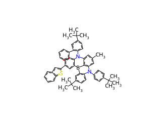 Cc1cc2c3c(c1)N(c1ccc(C(C)(C)C)cc1-c1ccccc1)c1ccc(-c4cc5ccccc5s4)cc1B3c1cc(C(C)(C)C)ccc1N2c1ccc(C(C)(C)C)cc1